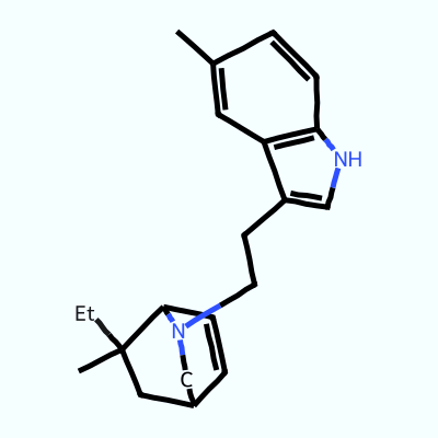 CCC1(C)CC2C=CC1N(CCc1c[nH]c3ccc(C)cc13)C2